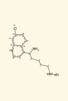 CCNCCCCC(N)c1ccnc2cc(Cl)ccc12